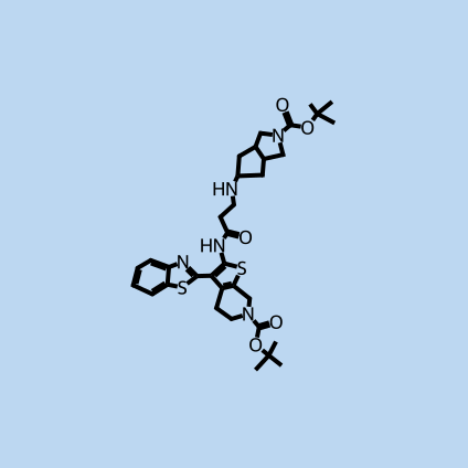 CC(C)(C)OC(=O)N1CCc2c(sc(NC(=O)CCNC3CC4CN(C(=O)OC(C)(C)C)CC4C3)c2-c2nc3ccccc3s2)C1